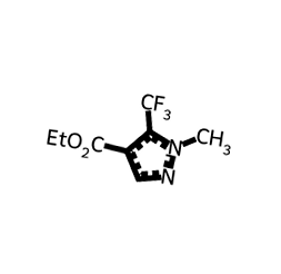 CCOC(=O)c1cnn(C)c1C(F)(F)F